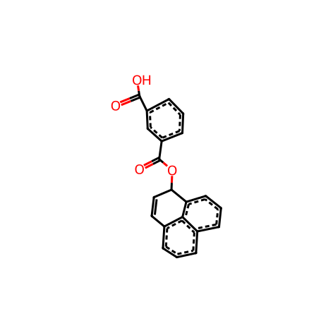 O=C(O)c1cccc(C(=O)OC2C=Cc3cccc4cccc2c34)c1